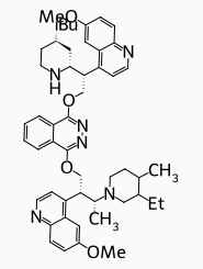 CCC1CN([C@H](C)[C@@H](COc2nnc(OC[C@@H](c3ccnc4ccc(OC)cc34)[C@H]3C[C@H]([C@@H](C)CC)CCN3)c3ccccc23)c2ccnc3ccc(OC)cc23)CCC1C